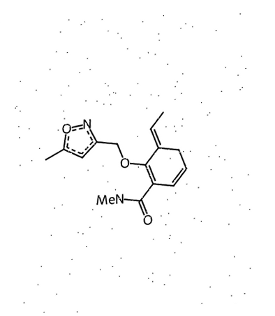 C/C=C1\CC=CC(C(=O)NC)=C1OCc1cc(C)on1